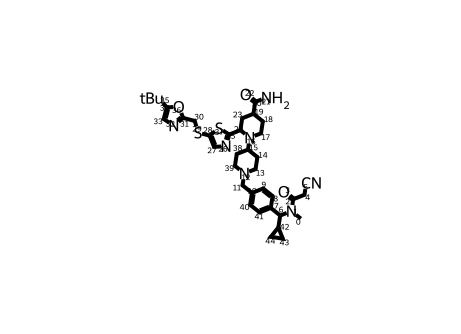 CN(C(=O)CC#N)C(c1ccc(CN2CCC(N3CCC(C(N)=O)CC3c3ncc(SCc4ncc(C(C)(C)C)o4)s3)CC2)cc1)C1CC1